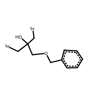 [2H]CC(O)(C[2H])COCc1ccccc1